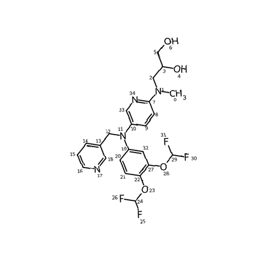 CN(CC(O)CO)c1ccc(N(Cc2cccnc2)c2ccc(OC(F)F)c(OC(F)F)c2)cn1